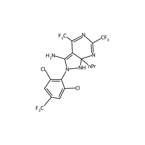 CCCC12N=C(C(F)(F)F)N=C(C(F)(F)F)C1=C(N)N(c1c(Cl)cc(C(F)(F)F)cc1Cl)N2